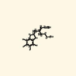 Cc1c(C)c(C)c2c(c1C)CC(N/C(=N/C#N)NCCF)C2